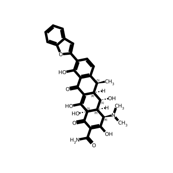 C[C@@H]1c2ccc(-c3cc4ccccc4o3)c(O)c2C(=O)C2=C(O)[C@]3(O)C(=O)C(C(N)=O)=C(O)[C@H](N(C)C)[C@@H]3[C@@H](O)[C@@H]21